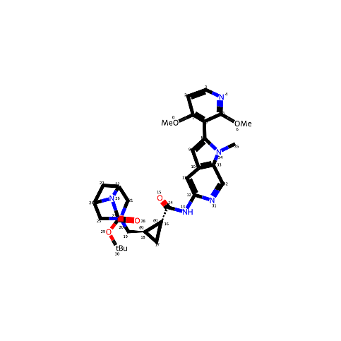 COc1ccnc(OC)c1-c1cc2cc(NC(=O)[C@@H]3C[C@H]3CN3CC4CC(C3)N4C(=O)OC(C)(C)C)ncc2n1C